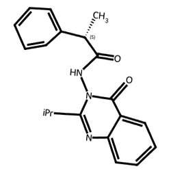 CC(C)c1nc2ccccc2c(=O)n1NC(=O)[C@@H](C)c1ccccc1